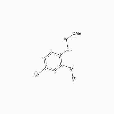 CCOc1cc(N)ccc1OCOC